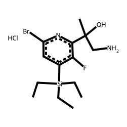 CC[Si](CC)(CC)c1cc(Br)nc(C(C)(O)CN)c1F.Cl